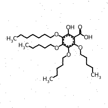 CCCCCCCOc1c(O)c(C(=O)O)c(OCCCCC)c(OCCCCC)c1OCCCCC